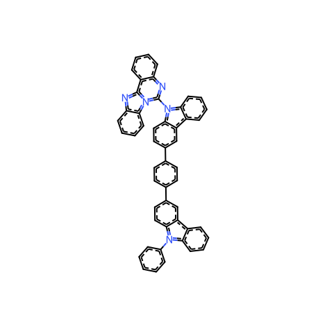 c1ccc(-n2c3ccccc3c3cc(-c4ccc(-c5ccc6c(c5)c5ccccc5n6-c5nc6ccccc6c6nc7ccccc7n56)cc4)ccc32)cc1